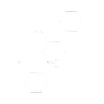 C=C(/C=C(NC)\C(=C/C)c1ccccc1)c1ccccc1C